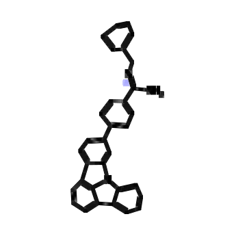 N/C(=N\Cc1ccccc1)c1ccc(-c2ccc3c4cccc5c6ccccc6n(c3c2)c54)cc1